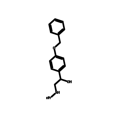 CCCNCC(O)c1ccc(OCc2ccccc2)cc1